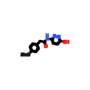 COc1ccc(CC(=O)Nc2ccc(O)nn2)cc1